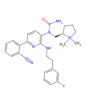 C[N+]1(C)CCC[C@@H]1CN(C(N)=O)c1ccc(-c2ccccc2C#N)nc1NCCc1cccc(F)c1